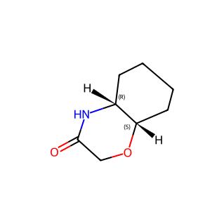 O=C1CO[C@H]2CCCC[C@H]2N1